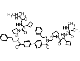 CN[C@@H](C)C(=O)N[C@H](C(=O)N1CCC[C@H]1CN(CCc1ccccc1)C(=O)c1ccc(-c2ccc(C(=O)N(CCc3ccccc3)C[C@@H]3CCCN3C(=O)[C@@H](NC(=O)[C@H](C)NC)C3CCC3)cc2)cc1)C1CCC1